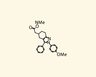 CNOC(=O)CC1CCc2nn(-c3ccc(OC)cc3)c(-c3ccccc3)c2C1